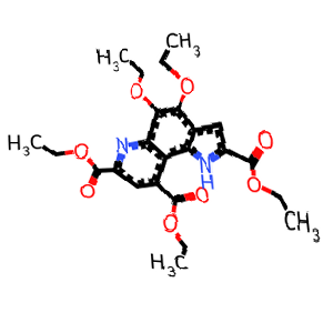 CCOC(=O)c1cc(C(=O)OCC)c2c(n1)c(OCC)c(OCC)c1cc(C(=O)OCC)[nH]c12